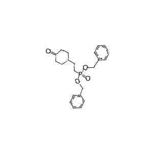 O=C1CCC(CCP(=O)(OCc2ccccc2)OCc2ccccc2)CC1